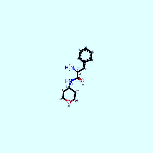 N[C@@H](Cc1ccccc1)C(=O)NC1CCOCC1